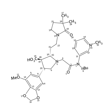 CCCCN(C(=O)CN1C[C@H](c2cc(OC)c3c(c2)OCO3)[C@@H](C(=O)O)[C@@H]1CCN1CCC(C)(C)C1=O)c1ccc[n+](C)c1